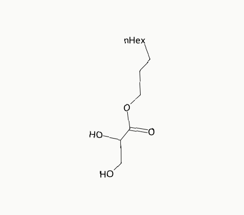 CCCCCCCCCOC(=O)C(O)CO